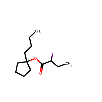 CCCCC1(OC(=O)C(I)CC)CCCC1